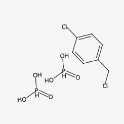 ClCc1ccc(Cl)cc1.O=[PH](O)O.O=[PH](O)O